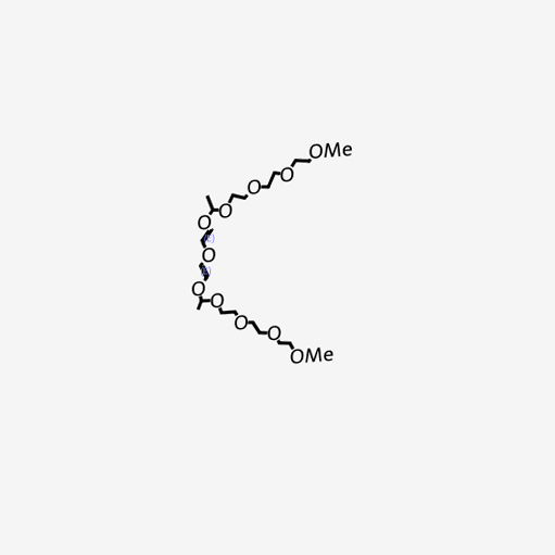 COCCOCCOCCOC(C)O/C=C/O/C=C/OC(C)OCCOCCOCCOC